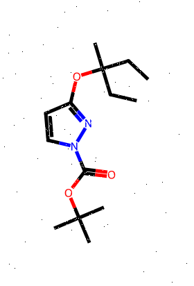 CCC(C)(CC)Oc1ccn(C(=O)OC(C)(C)C)n1